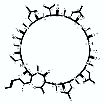 C/C=C/C[C@@H](C)[C@H]1OC(C)[C@H]2C(=O)N(C)[C@@H]1C(=O)N[C@@H](CC)C(=O)N(C)C(O)C(=O)N(C)[C@@H](CC(C)C)C(=O)N[C@@H](C(C)C)C(=O)N(C)[C@@H](CC(C)C)C(=O)N[C@@H](C)C(=O)N[C@H](C)C(=O)N(C)[C@@H](CC(C)C)C(=O)N(C)[C@@H](CC(C)C)C(=O)N2C